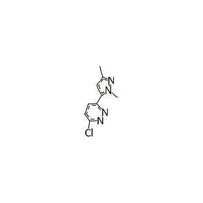 Cc1cc(-c2ccc(Cl)nn2)n(C)n1